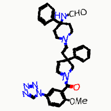 COc1ccc(-n2cnnn2)cc1C(=O)N1CCC(CCN2CCC(NC=O)(c3ccccc3)CC2)(c2ccccc2)C1